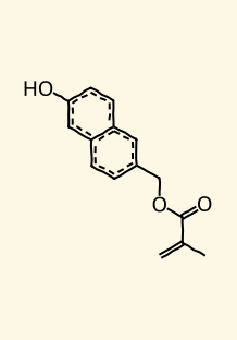 C=C(C)C(=O)OCc1ccc2cc(O)ccc2c1